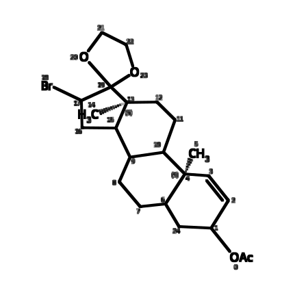 CC(=O)OC1C=C[C@@]2(C)C(CCC3C2CC[C@@]2(C)C3CC(Br)C23OCCO3)C1